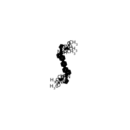 COC(=O)N[C@H](C(=O)N1CCCC1c1nc2ccc3cc(-c4ccc(-c5ccc6c(ccc7nc([C@@H]8CCCN8C(=O)[C@@H](NC(=O)OC)C(C)C)[nH]c76)c5)cc4)ccc3c2[nH]1)C(C)C